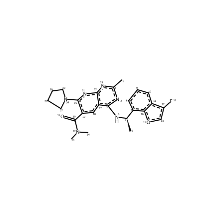 Cc1nc(N[C@H](C)c2cccc3c(F)coc23)c2cc(C(=O)N(C)C)c(N3CCCC3)nc2n1